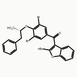 CCCCc1oc2ccccc2c1C(=O)c1cc(Br)c(O[C@H](Cc2ccccc2)C(=O)O)c(Br)c1